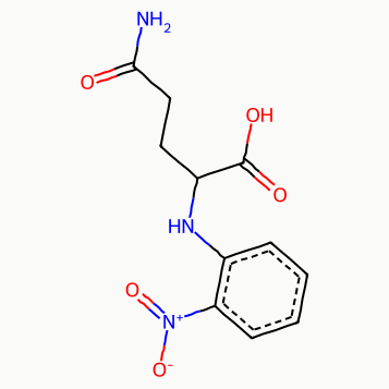 NC(=O)CCC(Nc1ccccc1[N+](=O)[O-])C(=O)O